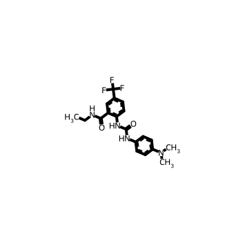 CCNC(=O)c1cc(C(F)(F)F)ccc1NC(=O)Nc1ccc(N(C)C)cc1